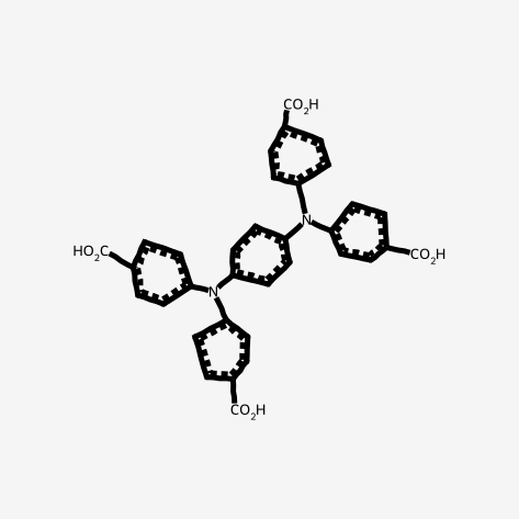 O=C(O)c1ccc(N(c2ccc(C(=O)O)cc2)c2ccc(N(c3ccc(C(=O)O)cc3)c3ccc(C(=O)O)cc3)cc2)cc1